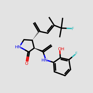 C=C(Nc1cccc(F)c1O)[C@H]1C(=O)NC[C@@H]1C(=C)/C=C(\C)C(C)(C)F